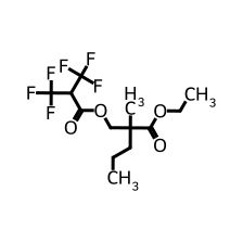 CCCC(C)(COC(=O)C(C(F)(F)F)C(F)(F)F)C(=O)OCC